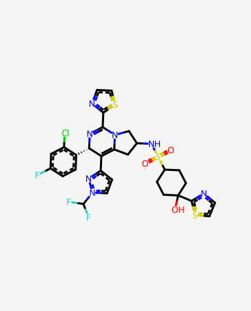 O=S(=O)(NC1CC2=C(c3ccn(C(F)F)n3)[C@H](c3ccc(F)cc3Cl)N=C(c3nccs3)N2C1)C1CCC(O)(c2nccs2)CC1